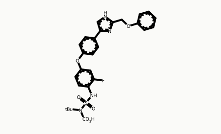 CC(C)(C)N(C(=O)O)S(=O)(=O)Nc1ccc(Oc2ccc(-c3c[nH]c(COc4ccccc4)n3)cc2)cc1F